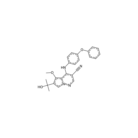 COc1c(C(C)(C)O)cn2ncc(C#N)c(Nc3ccc(Oc4ccccc4)cc3)c12